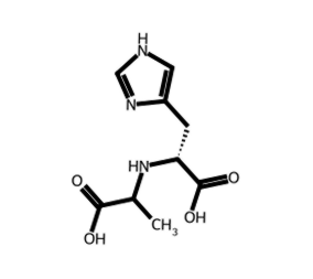 CC(N[C@H](Cc1c[nH]cn1)C(=O)O)C(=O)O